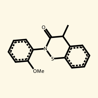 COc1ccccc1N1Sc2ccccc2C(C)C1=O